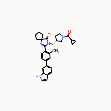 Cc1cc(-c2ccc3cc[nH]c3c2)ccc1C1=NC2(CCCC2)C(=O)N1C[C@@H]1CCN(C(=O)C2CC2)C1